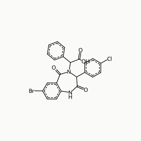 O=C(O)C(c1ccccc1)N1C(=O)c2cc(Br)ccc2NC(=O)C1c1ccc(Cl)cc1